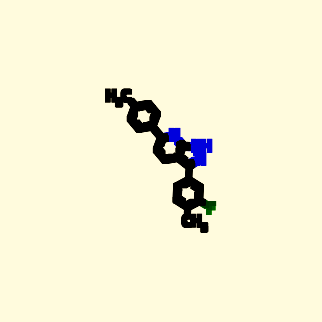 Cc1ccc(-c2ccc3c(-c4ccc(C)c(F)c4)n[nH]c3n2)cc1